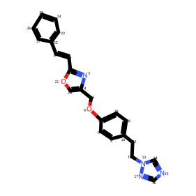 C(=C\c1nc(COc2ccc(CCn3cncn3)cc2)co1)/c1ccccc1